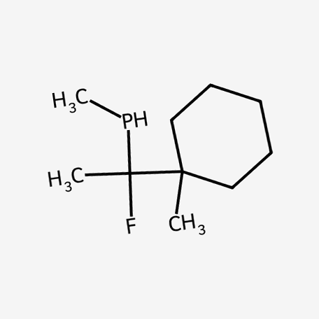 CPC(C)(F)C1(C)CCCCC1